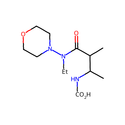 CCN(C(=O)C(C)C(C)NC(=O)O)N1CCOCC1